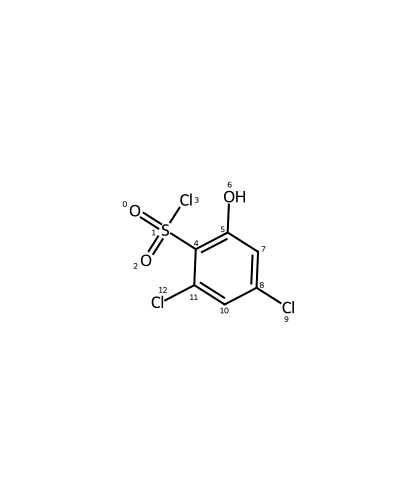 O=S(=O)(Cl)c1c(O)cc(Cl)cc1Cl